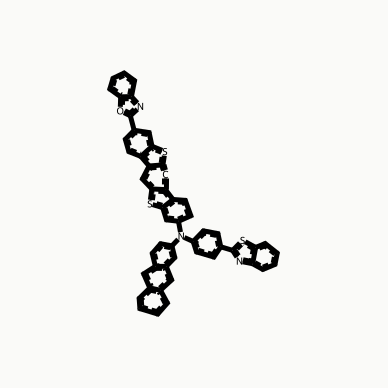 c1ccc2cc3cc(N(c4ccc(-c5nc6ccccc6s5)cc4)c4ccc5c(c4)sc4cc6c(cc45)sc4cc(-c5nc7ccccc7o5)ccc46)ccc3cc2c1